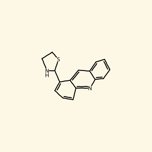 c1ccc2nc3cccc(C4NCCS4)c3cc2c1